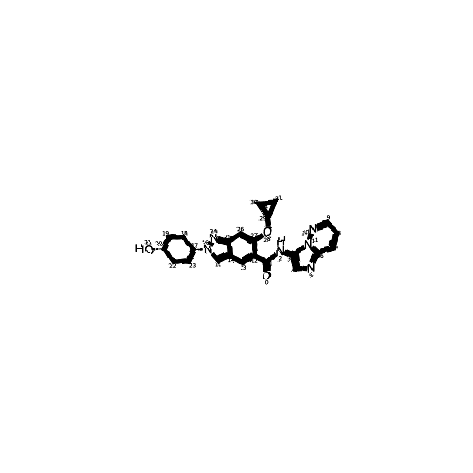 O=C(Nc1cnc2cccnn12)c1cc2cn([C@H]3CC[C@@H](O)CC3)nc2cc1OC1CC1